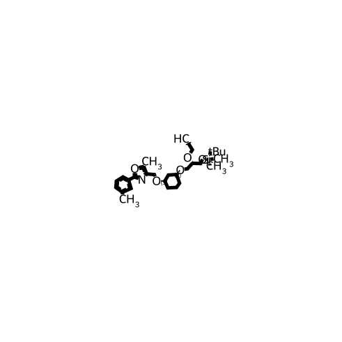 C#CCOC(CO[C@@H]1CCC[C@H](OCc2nc(-c3cccc(C)c3)oc2C)C1)CO[Si](C)(C)C(C)(C)C